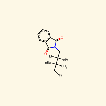 CCCCC(C)(CC(C)C)C(CC)(CCC)CN1C(=O)c2ccccc2C1=O